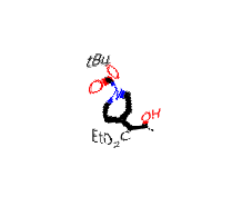 CCOC(=O)[C@@H](C1CCN(C(=O)OC(C)(C)C)CC1)[C@@H](C)O